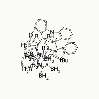 Bc1c(B)c(B)c(C2=CC=CC2(c2c(B)c(B)c(B)c(B)c2B)C2c3ccccc3N3c4cccc5c4C4(/C=C/C(c6ccccc6)=C(C(C)(C)C)\C=C(/N)n6c7ccccc7c7ccc(c4c76)O5)C23)c(B)c1B